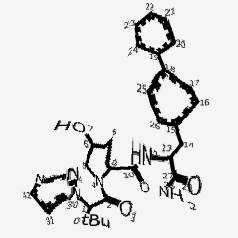 CC(C)(C)C(C(=O)N1CC(O)CC1C(=O)NC(Cc1ccc(-c2ccccc2)cc1)C(N)=O)n1ccnn1